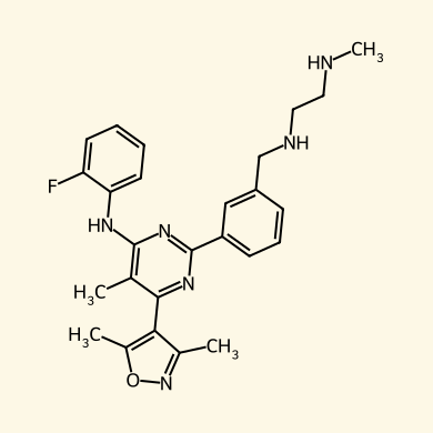 CNCCNCc1cccc(-c2nc(Nc3ccccc3F)c(C)c(-c3c(C)noc3C)n2)c1